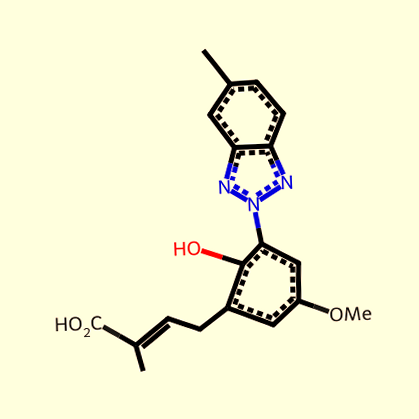 COc1cc(CC=C(C)C(=O)O)c(O)c(-n2nc3ccc(C)cc3n2)c1